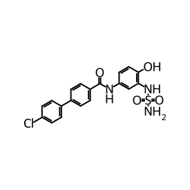 NS(=O)(=O)Nc1cc(NC(=O)c2ccc(-c3ccc(Cl)cc3)cc2)ccc1O